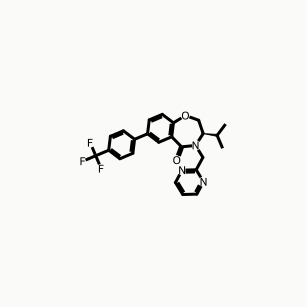 CC(C)[C@@H]1COc2ccc(-c3ccc(C(F)(F)F)cc3)cc2C(=O)N1Cc1ncccn1